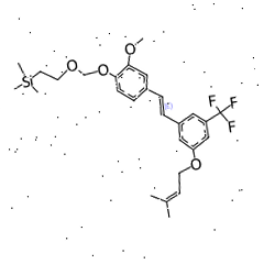 COc1cc(/C=C/c2cc(OCC=C(C)C)cc(C(F)(F)F)c2)ccc1OCOCC[Si](C)(C)C